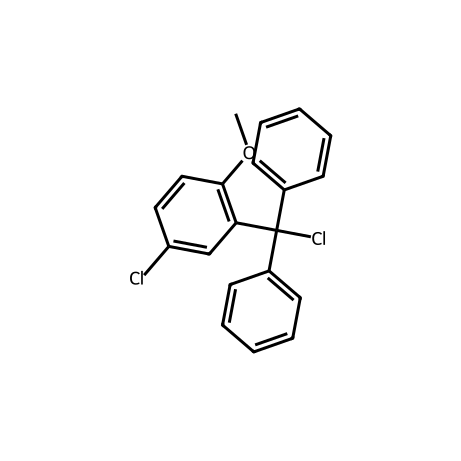 COc1ccc(Cl)cc1C(Cl)(c1ccccc1)c1ccccc1